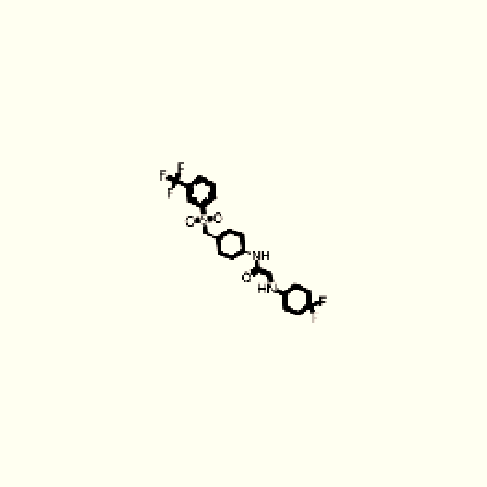 O=C(CNC1CCC(F)(F)CC1)N[C@H]1CC[C@H](CS(=O)(=O)c2cccc(C(F)(F)F)c2)CC1